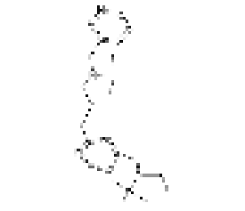 CCN(Cc1ccnc(CCCN(Cc2cccnc2)C(C)(C)C)c1)C(C)(C)C